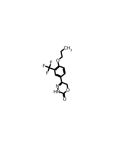 CCCOc1ccc(C2=NNC(=O)OC2)cc1C(F)(F)F